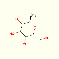 C[C@H]1OC(CO)[C@H](O)C(O)C1O